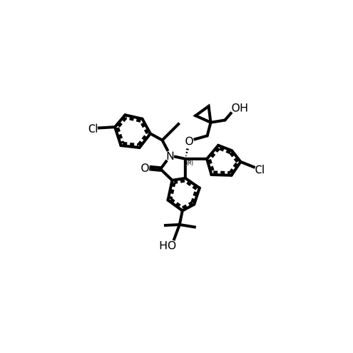 CC(c1ccc(Cl)cc1)N1C(=O)c2cc(C(C)(C)O)ccc2[C@]1(OCC1(CO)CC1)c1ccc(Cl)cc1